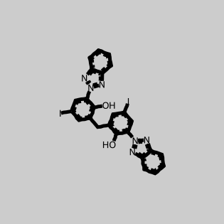 Oc1c(Cc2cc(I)cc(-n3nc4ccccc4n3)c2O)cc(I)cc1-n1nc2ccccc2n1